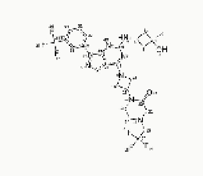 C[C@]1(O)C[C@H](Nc2nc(N3CC(N4CCN(CC(F)(F)F)CC4=O)C3)c3cnn(-c4cccc(C(F)(F)F)c4)c3n2)C1